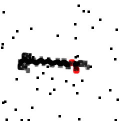 CCC(C)CCCCCCCCCC=COC(C)=O